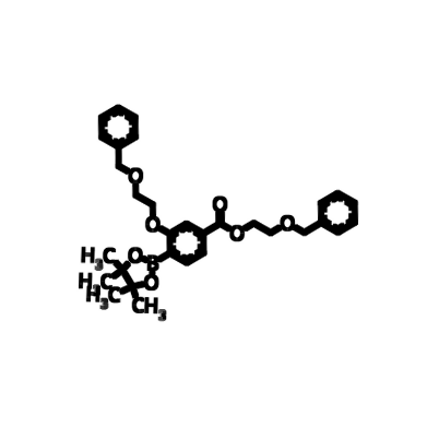 CC1(C)OB(c2ccc(C(=O)OCCOCc3ccccc3)cc2OCCOCc2ccccc2)OC1(C)C